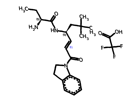 CC[C@H](N)C(=O)N[C@H](/C=C/C(=O)N1CCc2ccccc21)CC(C)(C)C.O=C(O)C(F)(F)F